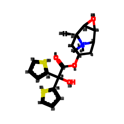 C[N+]1(C)C2CC(OC(=O)C(O)(c3cccs3)c3cccs3)C[C@H]1C1OC12